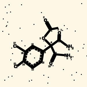 CC(=O)OC(C(N)=O)(C(N)=O)c1ccc(Cl)c(Cl)c1